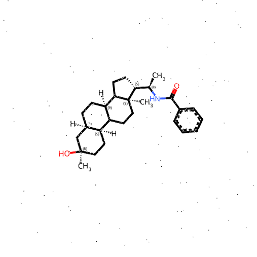 C[C@@H](NC(=O)c1ccccc1)[C@H]1CCC2[C@@H]3CC[C@@H]4C[C@](C)(O)CC[C@@H]4C3CC[C@@]21C